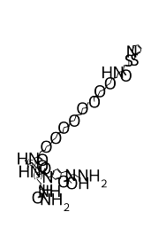 CC(C)[C@H](NC(=O)CCOCCOCCOCCOCCOCCOCCOCCOCCNC(=O)CCSSc1ccccn1)C(=O)N[C@@H](CCCNC(N)=O)C(=O)Nc1ccc(CN(CCN)C(=O)O)cc1